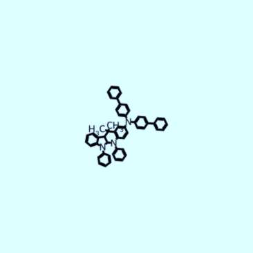 CC1(C)c2cc(N(c3ccc(-c4ccccc4)cc3)c3ccc(-c4ccccc4)cc3)ccc2N(c2ccccc2)C2C1c1ccccc1N2c1ccccc1